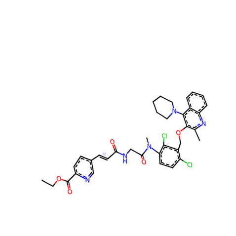 CCOC(=O)c1ccc(/C=C/C(=O)NCC(=O)N(C)c2ccc(Cl)c(COc3c(C)nc4ccccc4c3N3CCCCC3)c2Cl)cn1